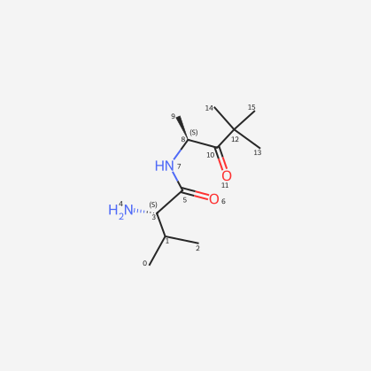 CC(C)[C@H](N)C(=O)N[C@@H](C)C(=O)C(C)(C)C